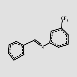 FC(F)(F)c1cccc(N=Cc2ccccc2)c1